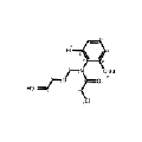 C=CCOCN(C(=O)CCl)c1c(CC)cccc1OCC(C)C